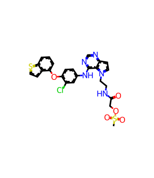 CS(=O)(=O)OCC(=O)NCCn1ccc2ncnc(Nc3ccc(Oc4cccc5sccc45)c(Cl)c3)c21